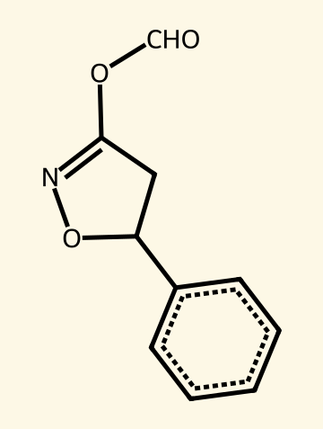 O=COC1=NOC(c2ccccc2)C1